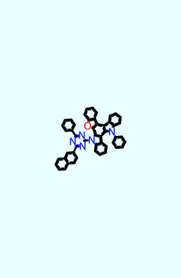 c1ccc(-c2nc(-c3ccc4ccccc4c3)nc(-n3c4ccccc4c4c3c3oc5ccccc5c3c3c5ccccc5n(-c5ccccc5)c34)n2)cc1